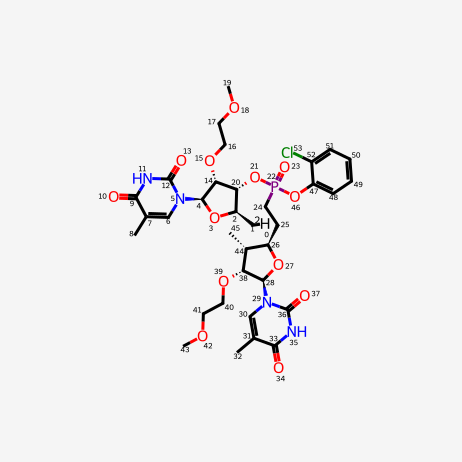 [2H]C[C@H]1O[C@@H](n2cc(C)c(=O)[nH]c2=O)[C@H](OCCOC)[C@@H]1OP(=O)(CC[C@H]1O[C@@H](n2cc(C)c(=O)[nH]c2=O)[C@H](OCCOC)[C@@H]1C)Oc1ccccc1Cl